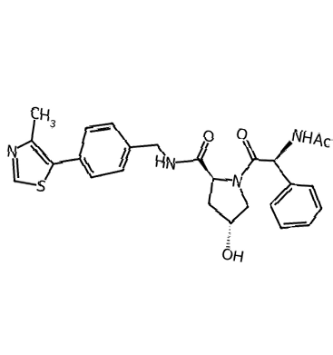 CC(=O)N[C@H](C(=O)N1C[C@H](O)C[C@H]1C(=O)NCc1ccc(-c2scnc2C)cc1)c1ccccc1